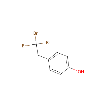 Oc1ccc(CC(Br)(Br)Br)cc1